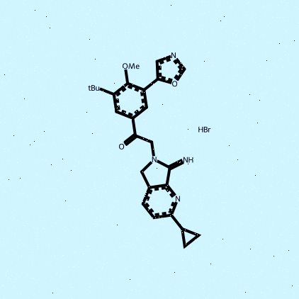 Br.COc1c(-c2cnco2)cc(C(=O)CN2Cc3ccc(C4CC4)nc3C2=N)cc1C(C)(C)C